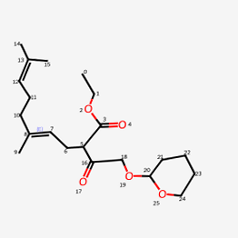 CCOC(=O)C(C/C=C(\C)CCC=C(C)C)C(=O)COC1CCCCO1